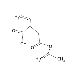 C=CC(CC(=O)OC(=C)C)C(=O)O